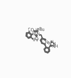 CCCCc1cn(-c2c(C(=O)O)cccc2C(C)C)c(=O)n1Cc1ccc(-c2ccccc2-c2nnn[nH]2)nc1